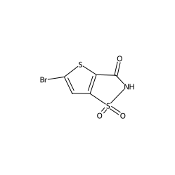 O=C1NS(=O)(=O)c2cc(Br)sc21